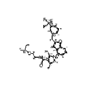 Cc1nn(-c2cccc3oc(Cc4cccc(C(F)(F)F)c4)cc23)c(C)c1C(=O)NCCOC(C)C